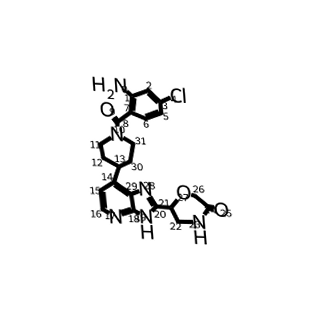 Nc1cc(Cl)ccc1C(=O)N1CCC(c2ccnc3[nH]c(C4CNC(=O)CO4)nc23)CC1